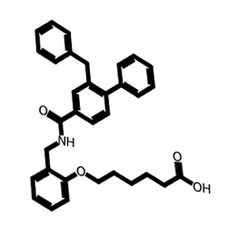 O=C(O)CCCCCOc1ccccc1CNC(=O)c1ccc(-c2ccccc2)c(Cc2ccccc2)c1